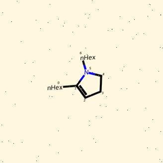 CCCCCCC1=CCCN1CCCCCC